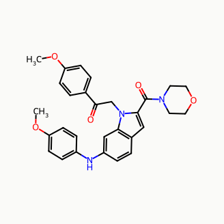 COc1ccc(Nc2ccc3cc(C(=O)N4CCOCC4)n(CC(=O)c4ccc(OC)cc4)c3c2)cc1